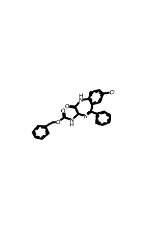 O=C(NC1N=C(c2ccccc2)c2cc(Cl)ccc2NC1=O)OCc1ccccc1